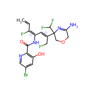 C=C/C(F)=C(\C=C(/CF)C1(C(F)F)COCC(N)=N1)NC(=O)c1ncc(Br)cc1O